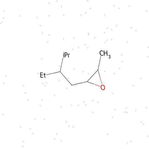 CCC(CC1OC1C)C(C)C